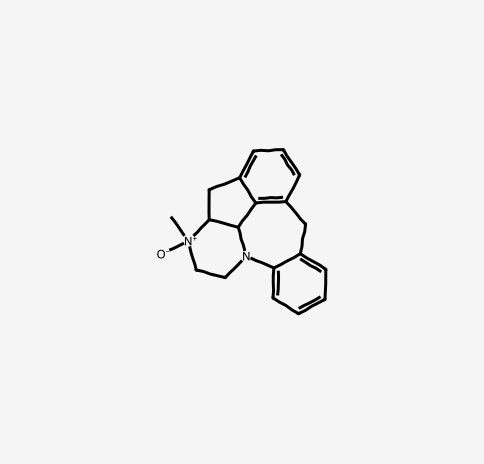 C[N+]1([O-])CCN2c3ccccc3Cc3cccc4c3C2C1C4